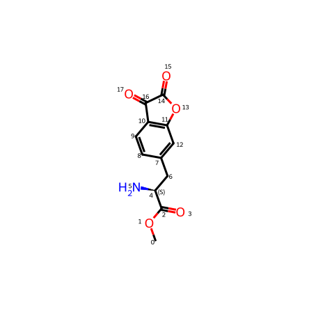 COC(=O)[C@@H](N)Cc1ccc2c(c1)OC(=O)C2=O